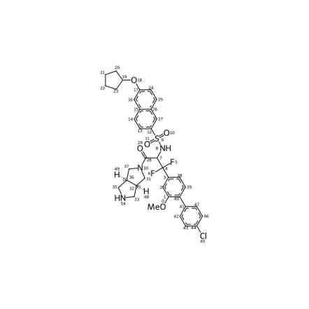 COc1cc(C(F)(F)C(NS(=O)(=O)c2ccc3cc(OC4CCCC4)ccc3c2)C(=O)N2C[C@H]3CNC[C@H]3C2)ccc1-c1ccc(Cl)cc1